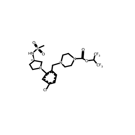 CS(=O)(=O)N[C@@H]1CCN(c2cc(Cl)ccc2CN2CCN(C(=O)OC(C(F)(F)F)C(F)(F)F)CC2)C1